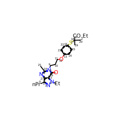 CCCc1nn(CC)c2c(=O)n(CCCOc3ccc(SC(C)(C)C(=O)OCC)cc3)c(C)nc12